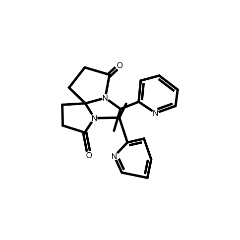 CC(c1ccccn1)N1C(=O)CCC12CCC(=O)N2C(C)c1ccccn1